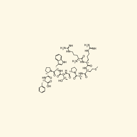 CSCC[C@H](NC(=O)[C@H](CCCNC(=N)N)NC(=O)[C@@H](N)CCCNC(=N)N)C(=O)N[C@@H](C)C(=O)N1CCC[C@H]1C(=O)N[C@H](C(=O)N[C@@H](Cc1c[nH]c2ccccc12)C(=O)N1CCC[C@H]1C(=O)N[C@@H](Cc1ccccc1)C(=O)O)[C@@H](C)O